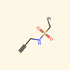 C#CCNS(=O)(=O)CC(C)C